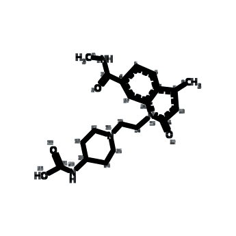 CNC(=O)c1ccc2c(C)cc(=O)n(CCN3CCC(NC(=O)O)CC3)c2c1